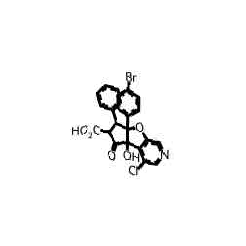 O=C(O)C1C(=O)C2(O)c3c(Cl)cncc3OC2(c2ccc(Br)cc2)C1c1ccccc1